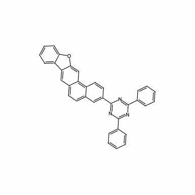 c1ccc(-c2nc(-c3ccccc3)nc(-c3ccc4c(ccc5cc6c(cc54)oc4ccccc46)c3)n2)cc1